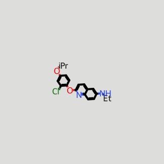 CCNc1ccc2nc(Oc3ccc(OC(C)C)cc3Cl)ccc2c1